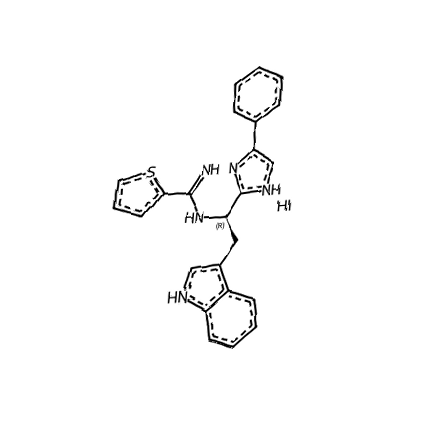 I.N=C(N[C@H](Cc1c[nH]c2ccccc12)c1nc(-c2ccccc2)c[nH]1)c1cccs1